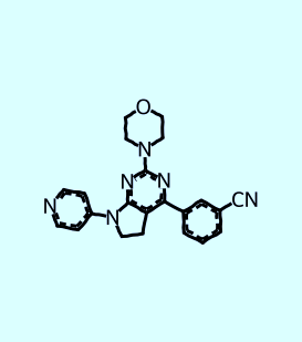 N#Cc1cccc(-c2nc(N3CCOCC3)nc3c2CCN3c2ccncc2)c1